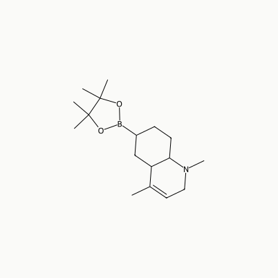 CC1=CCN(C)C2CCC(B3OC(C)(C)C(C)(C)O3)CC12